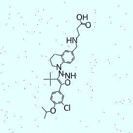 CC(C)Oc1ccc(C2=C(C(C)(C)C)N(N3CCCc4cc(CNCCC(=O)O)ccc43)NO2)cc1Cl